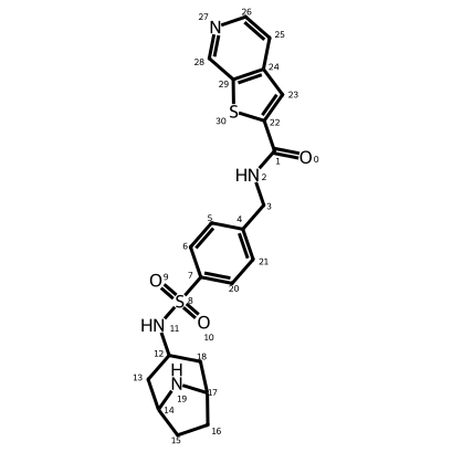 O=C(NCc1ccc(S(=O)(=O)NC2CC3CCC(C2)N3)cc1)c1cc2ccncc2s1